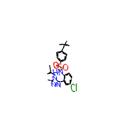 Cc1nnc(-c2cc(Cl)ccc2NS(=O)(=O)c2ccc(C(C)(C)C)cc2)n1CC(C)C